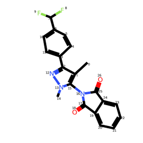 Cc1c(-c2ccc(C(F)F)cc2)nn(C)c1N1C(=O)c2ccccc2C1=O